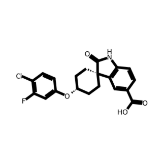 O=C(O)c1ccc2c(c1)[C@]1(CC[C@@H](Oc3ccc(Cl)c(F)c3)CC1)C(=O)N2